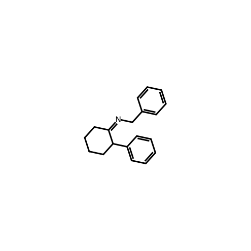 c1ccc(CN=C2CCCCC2c2ccccc2)cc1